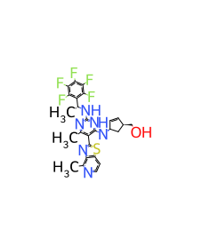 Cc1nc(N[C@H](C)c2c(F)c(F)c(F)c(F)c2F)nc(N[C@H]2C=C[C@@H](CO)C2)c1-c1nc2c(C)nccc2s1